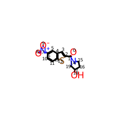 O=C(c1cc2cc([N+](=O)[O-])ccc2s1)N1CCC(O)C1